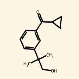 CC(C)(CO)c1cccc(C(=O)C2CC2)c1